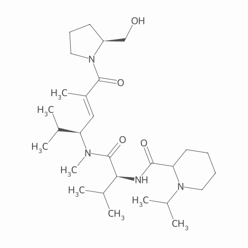 C/C(=C\[C@H](C(C)C)N(C)C(=O)[C@@H](NC(=O)C1CCCCN1C(C)C)C(C)C)C(=O)N1CCC[C@H]1CO